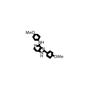 COc1ccc(Nc2nccc3[nH]c(-c4ccc(OC)cc4)nc23)cc1